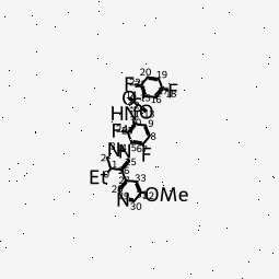 CCC1C=NN(c2c(F)ccc(NS(=O)(=O)c3cc(F)ccc3F)c2F)C=C1c1cncc(OC)c1